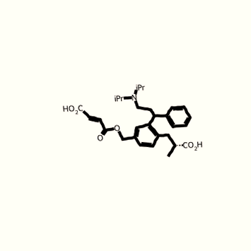 CC(C)N(CCC(c1ccccc1)c1cc(COC(=O)/C=C/C(=O)O)ccc1C[C@@H](C)C(=O)O)C(C)C